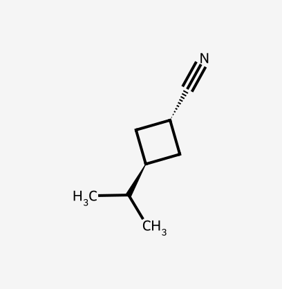 CC(C)[C@H]1C[C@H](C#N)C1